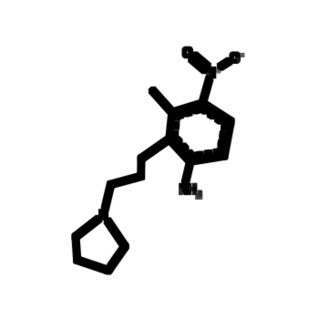 Cc1c([N+](=O)[O-])ccc(N)c1CCCN1CCCC1